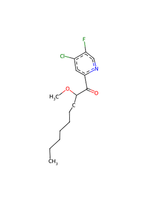 CCCCCCCC(OC)C(=O)c1cc(Cl)c(F)cn1